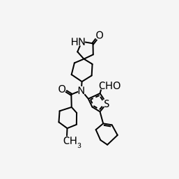 CC1CCC(C(=O)N(c2cc(C3=CCCCC3)sc2C=O)C2CCC3(CC2)CNC(=O)C3)CC1